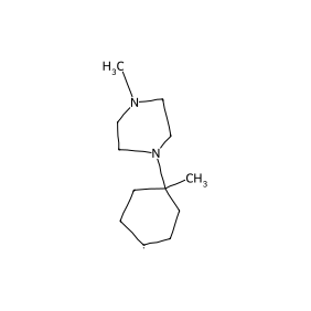 CN1CCN(C2(C)CC[CH]CC2)CC1